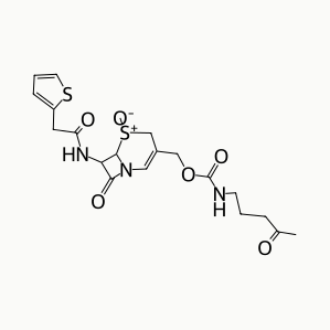 CC(=O)CCCNC(=O)OCC1=CN2C(=O)C(NC(=O)Cc3cccs3)C2[S+]([O-])C1